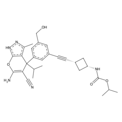 Cc1n[nH]c2c1C(c1cc(C#C[C@H]3C[C@@H](NC(=O)OC(C)C)C3)cc(CO)c1)(C(C)C)C(C#N)=C(N)O2